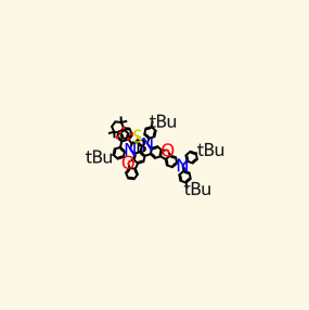 CC(C)(C)c1ccc(N2B3c4sc5cc6c(cc5c4N(c4ccc(C(C)(C)C)cc4-c4ccccc4)c4c3c(cc3c4oc4ccccc43)-c3cc4c(cc32)oc2cc(N(c3ccc(C(C)(C)C)cc3)c3ccc(C(C)(C)C)cc3)ccc24)C(C)(C)CCC6(C)C)cc1